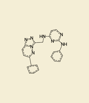 c1ccc(Nc2nccc(NCc3nnc4ccc(-c5ccccc5)nn34)n2)cc1